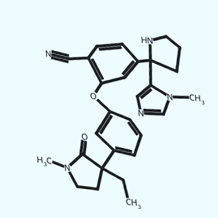 CCC1(c2cccc(Oc3cc(C4(c5cncn5C)CCCN4)ccc3C#N)c2)CCN(C)C1=O